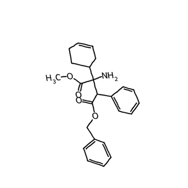 COC(=O)C(N)(C1CC=CCC1)C(C(=O)OCc1ccccc1)c1ccccc1